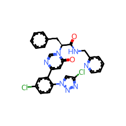 O=C(NCc1ccccn1)[C@H](Cc1ccccc1)n1cnc(-c2cc(Cl)ccc2-n2cc(Cl)nn2)cc1=O